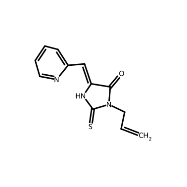 C=CCN1C(=O)C(=Cc2ccccn2)NC1=S